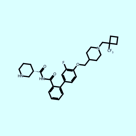 O=C(NC(=O)[C@H]1CCCNC1)c1ccccc1-c1ccc(OCC2CCN(CC3(C(F)(F)F)CCC3)CC2)c(F)c1